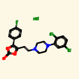 Cl.O=c1oc(CCN2CCN(c3cc(Cl)ccc3Cl)CC2)c(-c2ccc(F)cc2)o1